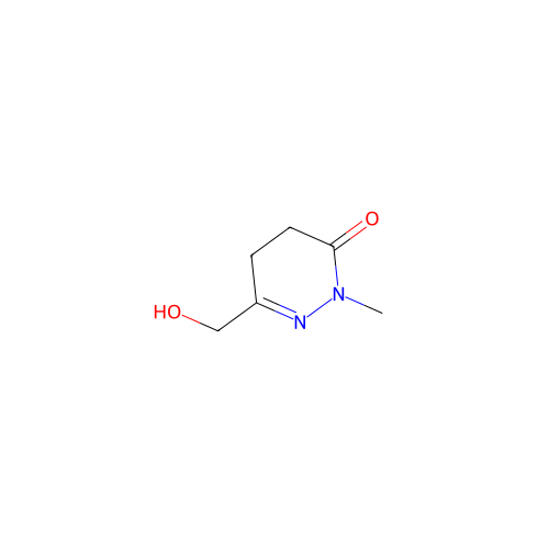 CN1N=C(CO)CCC1=O